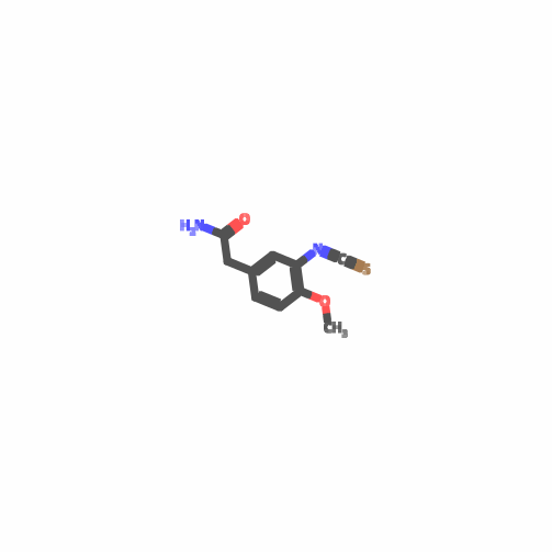 COc1ccc(CC(N)=O)cc1N=C=S